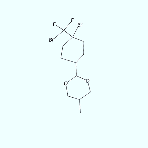 CC1COC(C2CCC(Br)(C(F)(F)Br)CC2)OC1